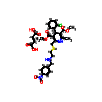 COC(=O)C1=C(C)NC(CSCCNCc2ccc([N+](=O)[O-])cc2)=C(C(=O)OC)C1c1ccccc1Cl.O=C(O)C=CC(=O)O